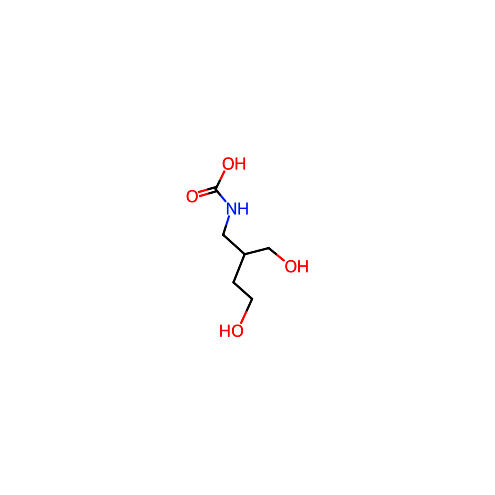 O=C(O)NCC(CO)CCO